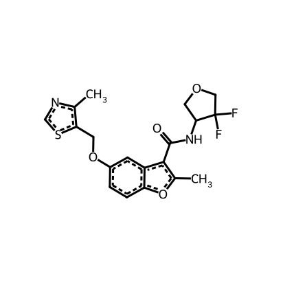 Cc1ncsc1COc1ccc2oc(C)c(C(=O)NC3COCC3(F)F)c2c1